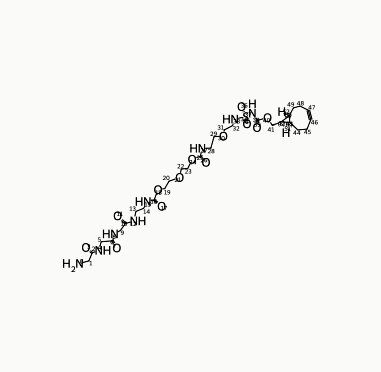 NCC(=O)NCC(=O)NCC(=O)NCCNC(=O)OCCOCCOC(=O)NCCOCCNS(=O)(=O)NC(=O)OC[C@@H]1[C@@H]2CCC#CCC[C@@H]21